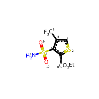 CCOC(=O)c1scc(C(F)(F)F)c1S(N)(=O)=O